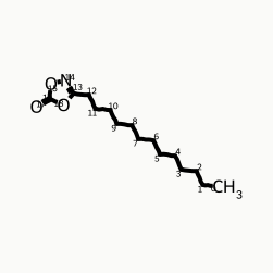 CCCCCCCCCCCCCc1noc(=O)o1